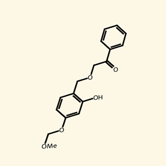 COCOc1ccc(COCC(=O)c2ccccc2)c(O)c1